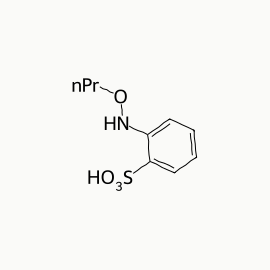 CCCONc1ccccc1S(=O)(=O)O